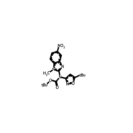 Cn1c(N(C(=O)OC(C)(C)C)c2cc(C(C)(C)C)on2)nc2cc([N+](=O)[O-])ccc21